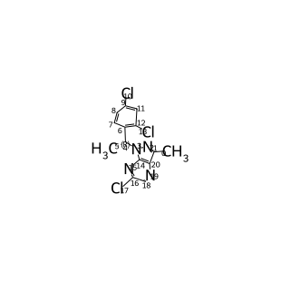 Cc1nn([C@H](C)c2ccc(Cl)cc2Cl)c2nc(Cl)cnc12